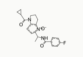 CC(NC(=O)c1ccc(F)cc1)c1ccc2c([n+]1[O-])CCCN2C(=O)C1CC1